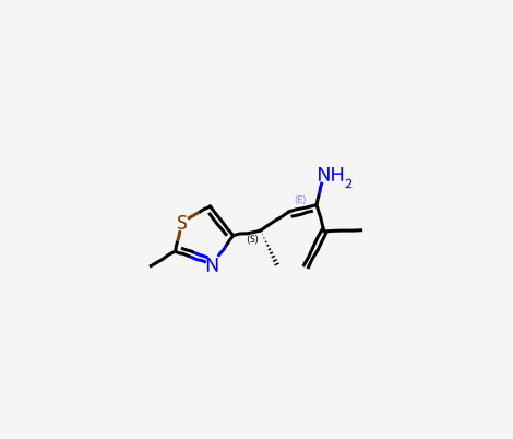 C=C(C)/C(N)=C\[C@H](C)c1csc(C)n1